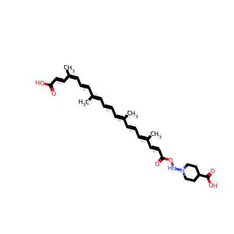 CC(=C/C=C/C(C)=C/C=C/C=C(C)/C=C/C=C(C)/C=C/C(=O)ONN1CCC(C(=O)O)CC1)/C=C/C(=O)O